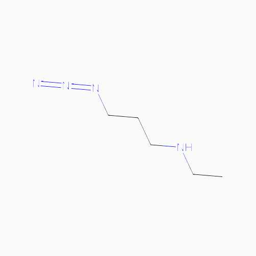 CCNCCCN=[N+]=[N-]